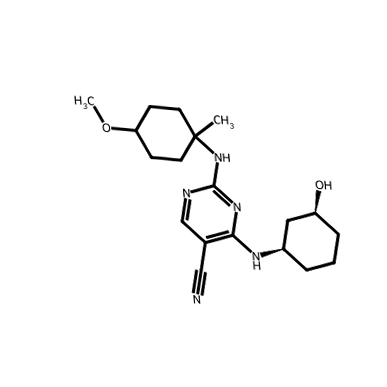 COC1CCC(C)(Nc2ncc(C#N)c(N[C@@H]3CCC[C@H](O)C3)n2)CC1